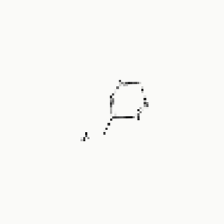 FC(F)(F)Cc1cn[c]nn1